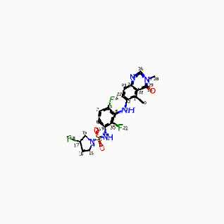 Cc1c(Nc2c(F)ccc(NS(=O)(=O)N3CCC(F)C3)c2F)ccc2ncn(C)c(=O)c12